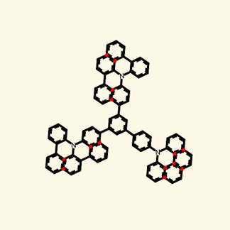 c1ccc(-c2ccccc2N(c2ccc(-c3cc(-c4ccc(N(c5ccccc5-c5ccccc5)c5ccccc5-c5ccccc5)cc4)cc(-c4ccc(N(c5ccccc5-c5ccccc5)c5ccccc5-c5ccccc5)cc4)c3)cc2)c2ccccc2-c2ccccc2)cc1